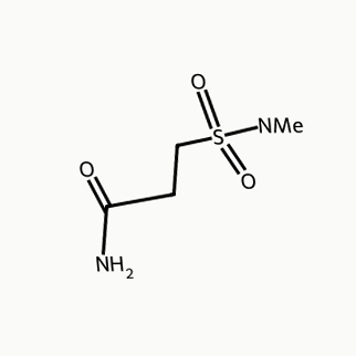 CNS(=O)(=O)CCC(N)=O